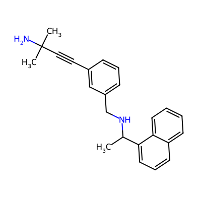 CC(NCc1cccc(C#CC(C)(C)N)c1)c1cccc2ccccc12